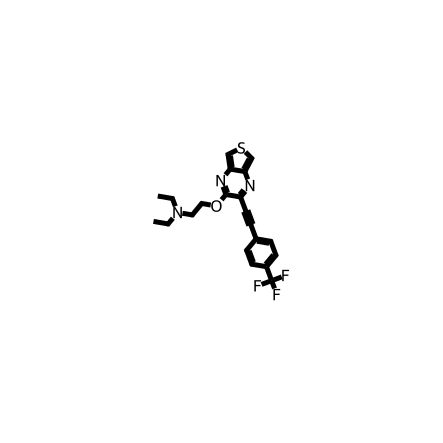 CCN(CC)CCOc1nc2cscc2nc1C#Cc1ccc(C(F)(F)F)cc1